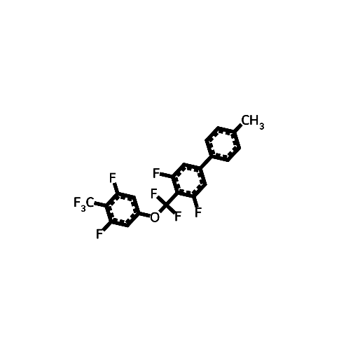 Cc1ccc(-c2cc(F)c(C(F)(F)Oc3cc(F)c(C(F)(F)F)c(F)c3)c(F)c2)cc1